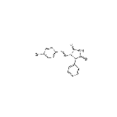 O=C1NC(=O)N(N=Cc2ccc(Br)cc2)C1c1ccccc1